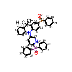 CC1(C)c2ccccc2N(c2ccc(P(=O)(c3ccccc3)c3ccccc3)nc2)c2ccc([S+]([O-])c3ccccc3)cc21